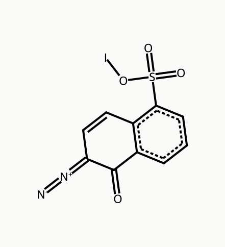 [N-]=[N+]=C1C=Cc2c(cccc2S(=O)(=O)OI)C1=O